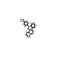 Clc1ccc(CCC2C3=CC=CCC3CCN2c2ccccc2)cc1